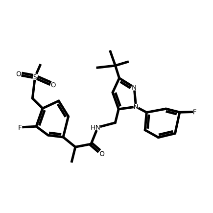 CC(C(=O)NCc1cc(C(C)(C)C)nn1-c1cccc(F)c1)c1ccc(CS(C)(=O)=O)c(F)c1